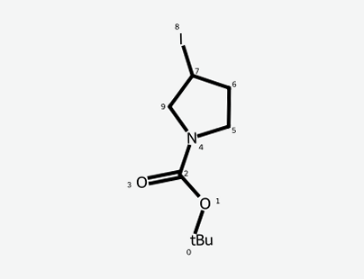 CC(C)(C)OC(=O)N1CCC(I)C1